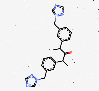 CC(C(=O)C(C)c1cccc(Cn2cncn2)c1)c1cccc(Cn2cncn2)c1